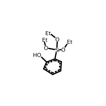 CCO[Si](OCC)(OCC)c1ccccc1O